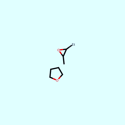 C1CCOC1.CCC1OC1C